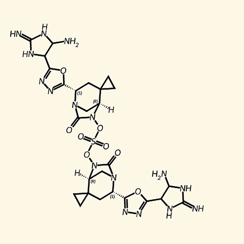 N=C1NC(N)C(c2nnc([C@@H]3CC4(CC4)[C@@H]4CN3C(=O)N4OS(=O)(=O)ON3C(=O)N4C[C@H]3C3(CC3)C[C@H]4c3nnc(C4NC(=N)NC4N)o3)o2)N1